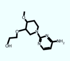 COC1CCN(c2nccc(N)n2)CC1OCCO